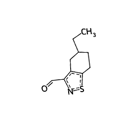 CCC1CCc2snc(C=O)c2C1